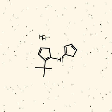 CC(C)(C)C1=[C]([Hf][C]2=CC=CC2)CC=C1.[H-].[H-]